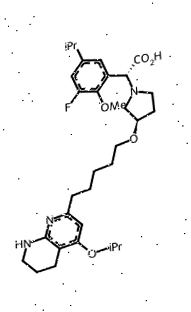 COc1c(F)cc(C(C)C)cc1[C@H](C(=O)O)N1CC[C@@H](OCCCCCc2cc(OC(C)C)c3c(n2)NCCC3)C1